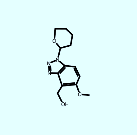 COc1ccc2c(nnn2C2CCCCO2)c1CO